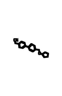 N#CCc1ccc(-c2ccc(COC3CCCC3)cc2)cc1